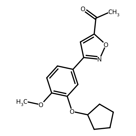 COc1ccc(-c2cc(C(C)=O)on2)cc1OC1CCCC1